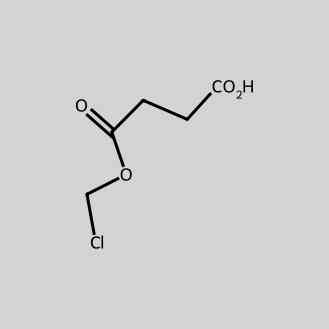 O=C(O)CCC(=O)OCCl